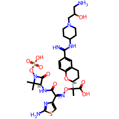 CC(O/N=C(\C(=O)N[C@@H]1C(=O)N(OS(=O)(=O)O)C1(C)C)c1csc(N)n1)(C(=O)O)[C@H]1CCc2cc(C(=N)NC3CCN(CC(O)CN)CC3)ccc2O1